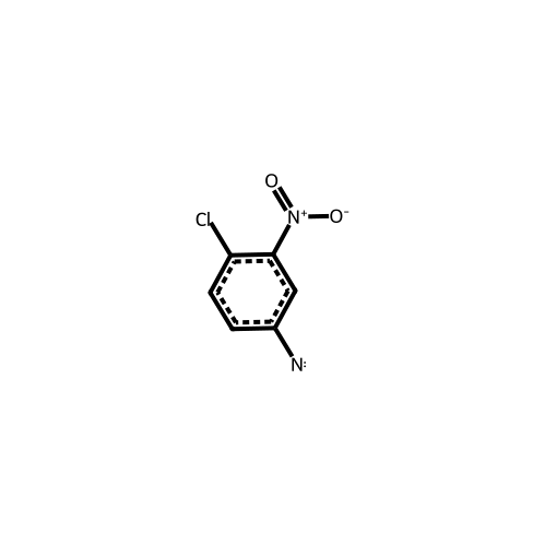 [N]c1ccc(Cl)c([N+](=O)[O-])c1